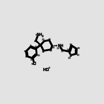 Cl.NC[C@]1(c2cccc(Cl)c2)CC[C@@H](NCc2cccs2)CC1